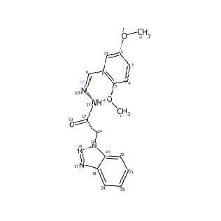 COc1ccc(OC)c(/C=N\NC(=O)Cn2nnc3ccccc32)c1